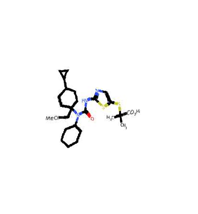 COCC1(N(C(=O)Nc2ncc(SC(C)(C)C(=O)O)s2)C2CCCCC2)CCC(C2CC2)CC1